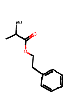 CCC(C)C(C)C(=O)OCCc1ccccc1